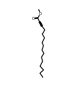 CCCCCCCCCCCCCC#CC(=O)OC